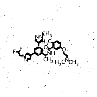 Cc1ccc(OCCN(C)C)cc1C(=O)N[C@H](C)c1cc(-c2cnn(C)c2)cc(-c2cnn(CC(F)F)c2)c1